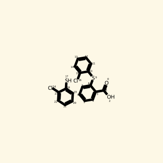 O=C(O)c1ccccc1Sc1ccccc1Cl.Sc1ccccc1Cl